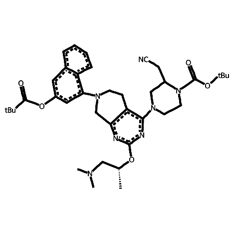 C[C@H](CN(C)C)Oc1nc2c(c(N3CCN(C(=O)OC(C)(C)C)C(CC#N)C3)n1)CCN(c1cc(OC(=O)C(C)(C)C)cc3ccccc13)C2